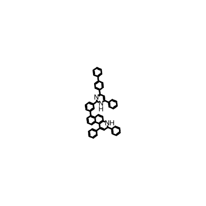 C1=C(c2ccccc2)NC(c2cccc(-c3cccc4c5c(ccc34)NC(c3ccccc3)C=C5c3ccccc3)c2)N=C1c1ccc(-c2ccccc2)cc1